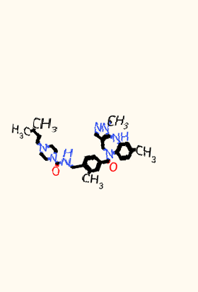 Cc1ccc2c(c1)Nc1c(cnn1C)CN2C(=O)c1ccc(CNC(=O)N2CCN(CCC(C)C)CC2)c(C)c1